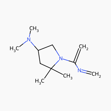 C=NC(=C)N1CC(N(C)C)CC1(C)C